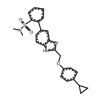 CN(C)S(=O)(=O)c1ccccc1-c1ccc2[nH]c(COc3ccc(C4CC4)cc3)nc2c1